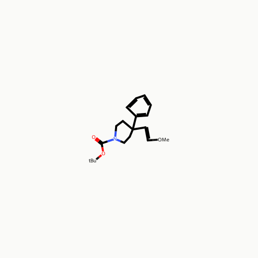 COC=CC1(c2ccccc2)CCN(C(=O)OC(C)(C)C)CC1